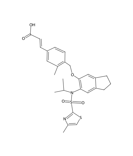 Cc1csc(S(=O)(=O)N(c2cc3c(cc2OCc2ccc(C=CC(=O)O)cc2C)CCC3)C(C)C)n1